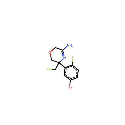 NC1=NC(CF)(c2cc(Br)ccc2F)COC1